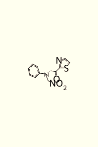 O=C(C[C@H](C[N+](=O)[O-])c1ccccc1)c1nccs1